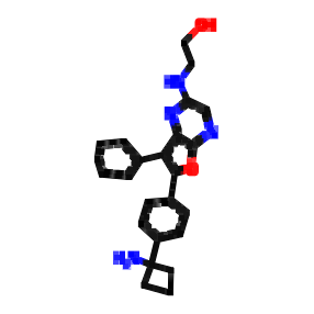 NC1(c2ccc(-c3oc4ncc(NCCO)nc4c3-c3ccccc3)cc2)CCC1